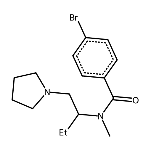 CCC(CN1CCCC1)N(C)C(=O)c1ccc(Br)cc1